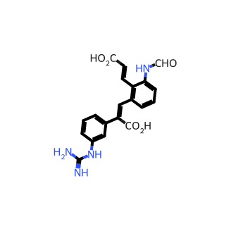 N=C(N)Nc1cccc(C(=Cc2cccc(NC=O)c2C=CC(=O)O)C(=O)O)c1